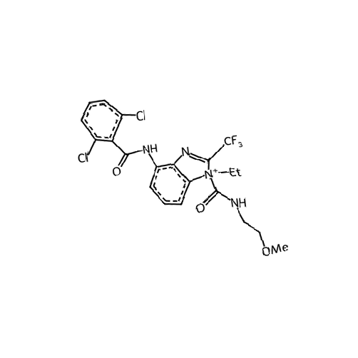 CC[N+]1(C(=O)NCCOC)C(C(F)(F)F)=Nc2c(NC(=O)c3c(Cl)cccc3Cl)cccc21